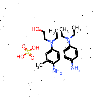 CCN(CC)c1ccc(N)cc1.CCN(CCO)c1ccc(N)c(C)c1.O=S(=O)(O)O